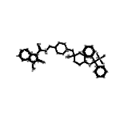 CC(C)n1c(=O)n(C(=O)NCC2CCN(CC3(O)CCC(OC(c4ccccc4)(c4ccccc4)[Si](C)(C)C)CC3)CC2)c2ccccc21